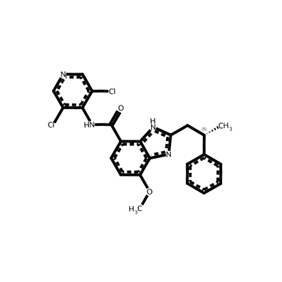 COc1ccc(C(=O)Nc2c(Cl)cncc2Cl)c2[nH]c(C[C@H](C)c3ccccc3)nc12